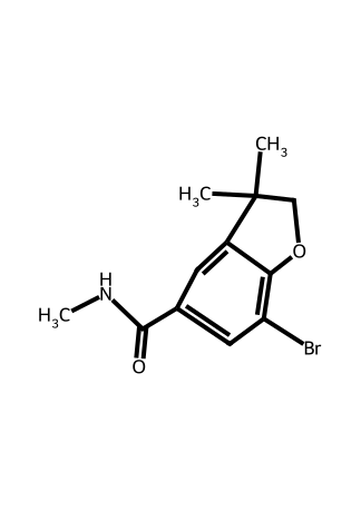 CNC(=O)c1cc(Br)c2c(c1)C(C)(C)CO2